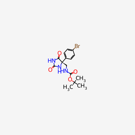 CC(C)(C)OC(=O)NC[C@@]1(c2ccc(Br)cc2)NC(=O)NC1=O